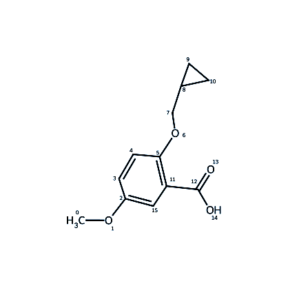 COc1ccc(OCC2CC2)c(C(=O)O)c1